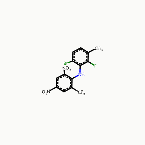 Cc1ccc(Br)c(Nc2c([N+](=O)[O-])cc([N+](=O)[O-])cc2C(F)(F)F)c1F